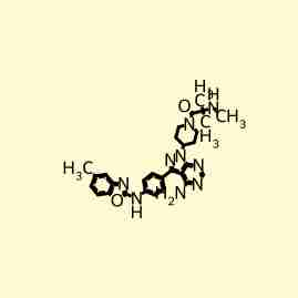 CNC(C)(C)C(=O)N1CCC(n2nc(-c3ccc(Nc4nc5cc(C)ccc5o4)cc3)c3c(N)ncnc32)CC1